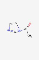 C[13C](=O)[15n]1cc[15n]c1